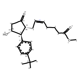 COC(=O)CCC/C=C\C[C@H]1C(=O)C[C@@H](O)[C@@H]1c1ccc(C(C)(C)C)cc1